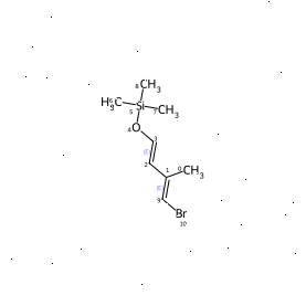 CC(/C=C/O[Si](C)(C)C)=C\Br